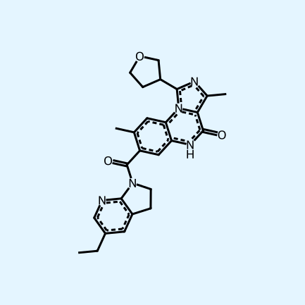 CCc1cnc2c(c1)CCN2C(=O)c1cc2[nH]c(=O)c3c(C)nc(C4CCOC4)n3c2cc1C